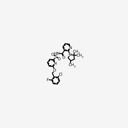 CC1CN(c2ncccc2C(=O)NS(=O)(=O)c2cccc(OCc3c(F)cccc3Cl)n2)C(C)(C)C1